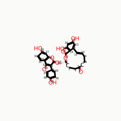 C[C@H]1CCCC(=O)CCC/C=C/c2cc(O)cc(O)c2C(=O)O1.O=c1oc2cc(O)ccc2c2oc3cc(O)ccc3c12